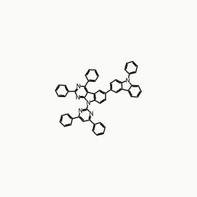 c1ccc(-c2cc(-c3ccccc3)nc(-n3c4ccc(-c5ccc6c(c5)c5ccccc5n6-c5ccccc5)cc4c4c(-c5ccccc5)nc(-c5ccccc5)nc43)n2)cc1